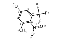 Cc1cc(O)cc(C(F)(F)F)c1[N+](=O)[O-]